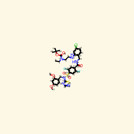 CCN(CCNc1cc(Cl)ccc1CNC(=O)c1cc(F)c(S(=O)(=O)N(Cc2ccc(OC)cc2OC)c2ncns2)cc1F)C(=O)OC(C)(C)C